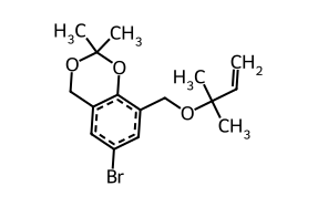 C=CC(C)(C)OCc1cc(Br)cc2c1OC(C)(C)OC2